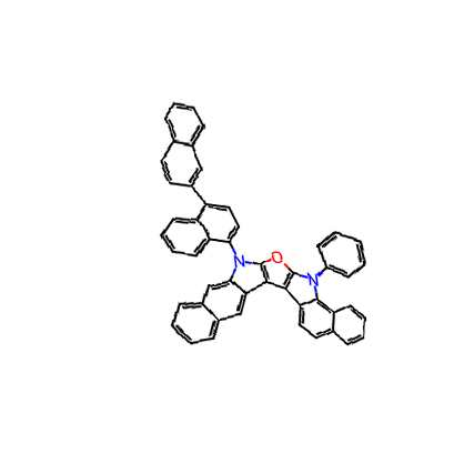 c1ccc(-n2c3oc4c(c5cc6ccccc6cc5n4-c4ccc(-c5ccc6ccccc6c5)c5ccccc45)c3c3ccc4ccccc4c32)cc1